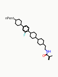 C=C(C)C(=O)NCCC1CCC(C2CCC(c3ccc(C4CCC(CCCCC)CC4)cc3F)CC2)CC1